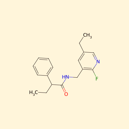 CCc1cnc(F)c(CNC(=O)C(CC)c2ccccc2)c1